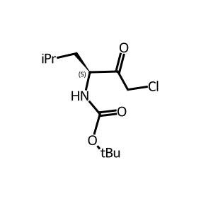 CC(C)C[C@H](NC(=O)OC(C)(C)C)C(=O)CCl